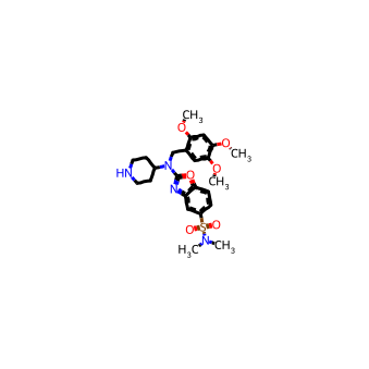 COc1cc(OC)c(OC)cc1CN(c1nc2cc(S(=O)(=O)N(C)C)ccc2o1)C1CCNCC1